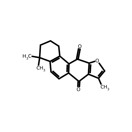 Cc1coc2c1C(=O)c1ccc3c(c1C2=O)CCCC3(C)C